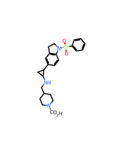 O=C(O)N1CCC(CNC2CC2c2ccc3c(c2)CCN3S(=O)(=O)c2ccccc2)CC1